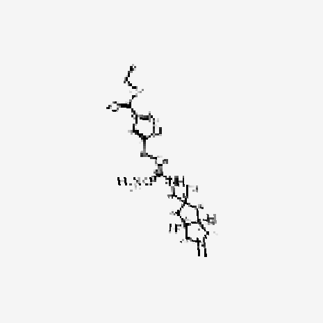 CCOC(=O)c1cc(COC(=O)NCC2(F)C[C@H]3CNC[C@H]3C2)on1.N